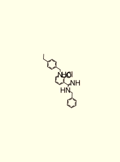 CCc1ccc(Cn2cccc(C(=N)NCc3ccccc3)c2=O)cc1.Cl